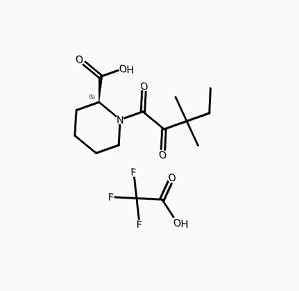 CCC(C)(C)C(=O)C(=O)N1CCCC[C@H]1C(=O)O.O=C(O)C(F)(F)F